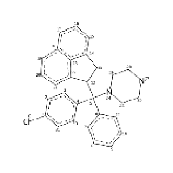 Clc1ccc(C(c2ccccc2)(C2Cc3cccc4cccc2c34)N2CC[N]CC2)cc1